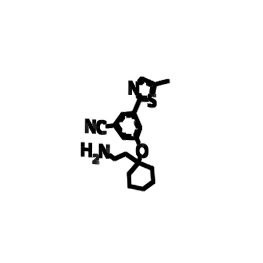 Cc1cnc(-c2cc(C#N)cc(OC3(CCN)CCCCC3)c2)s1